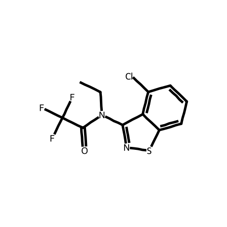 CCN(C(=O)C(F)(F)F)c1nsc2cccc(Cl)c12